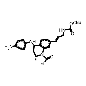 CCC(=O)N1c2cc(/C=C/CNC(=O)OC(C)(C)C)ccc2[C@H](Nc2ccc(N)cc2)C[C@@H]1C